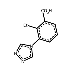 CCc1c(C(=O)O)cccc1-n1cnnc1